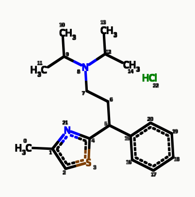 Cc1csc(C(CCN(C(C)C)C(C)C)c2ccccc2)n1.Cl